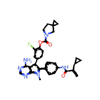 C=C(C(=O)Nc1ccc(-c2c(-c3ccc(OC(=O)N4CCC5(CC5)C4)c(F)c3)c3c(N)ncnc3n2C)cc1)C1CC1